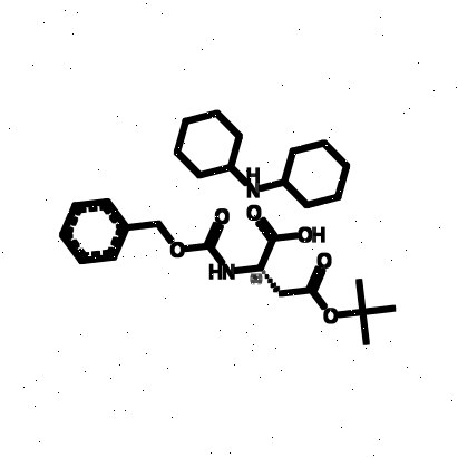 C1CCC(NC2CCCCC2)CC1.CC(C)(C)OC(=O)C[C@H](NC(=O)OCc1ccccc1)C(=O)O